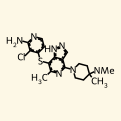 CNC1(C)CCN(c2nc(C)c(Sc3ccnc(N)c3Cl)c3[nH]ncc23)CC1